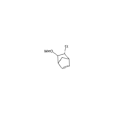 CCC1C2C=CC(C2)C1OC